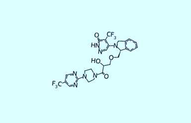 O=C(C(O)COC[C@@H]1c2ccccc2CN1c1cn[nH]c(=O)c1C(F)(F)F)N1CCN(c2ncc(C(F)(F)F)cn2)CC1